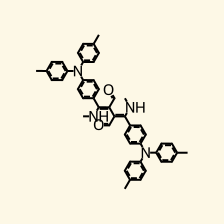 CN/C(=C(C=O)\C(C=O)=C(/NC)c1ccc(N(c2ccc(C)cc2)c2ccc(C)cc2)cc1)c1ccc(N(c2ccc(C)cc2)c2ccc(C)cc2)cc1